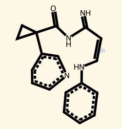 N=C(/C=C\Nc1ccccc1)NC(=O)C1(c2cccnc2)CC1